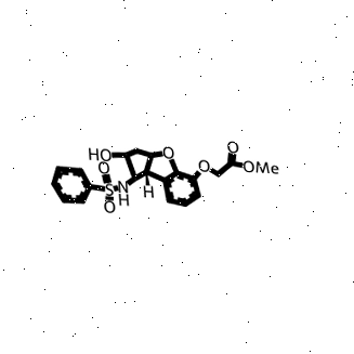 COC(=O)COc1cccc2c1OC1CC(O)C(NS(=O)(=O)c3ccccc3)[C@@H]21